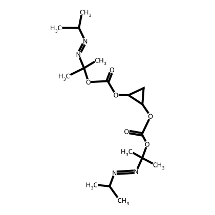 CC(C)N=NC(C)(C)OC(=O)OC1CC1OC(=O)OC(C)(C)N=NC(C)C